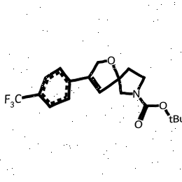 CC(C)(C)OC(=O)N1CCC2(C=C(c3ccc(C(F)(F)F)cc3)CO2)C1